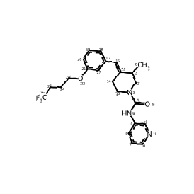 CC1CN(C(=O)Nc2cccnc2)CCC1=Cc1cccc(OCCCC(F)(F)F)c1